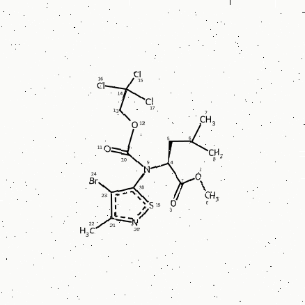 COC(=O)[C@H](CC(C)C)N(C(=O)OCC(Cl)(Cl)Cl)c1snc(C)c1Br